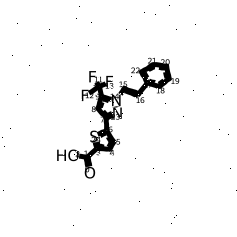 O=C(O)c1ccc(-c2cc(C(F)(F)F)n(C=Cc3ccccc3)n2)s1